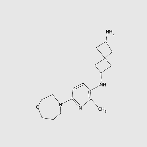 Cc1nc(N2CCCOCC2)ccc1NC1CC2(CC(N)C2)C1